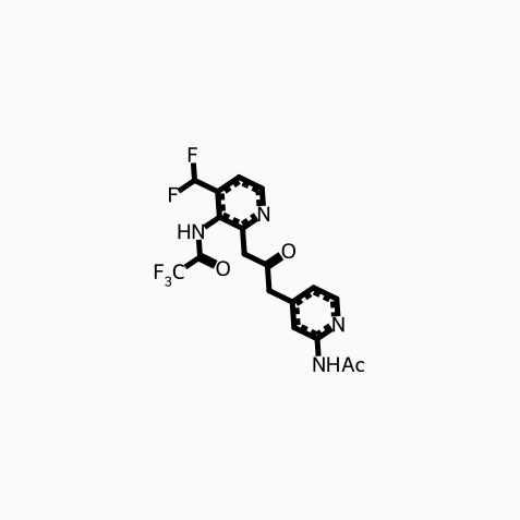 CC(=O)Nc1cc(CC(=O)Cc2nccc(C(F)F)c2NC(=O)C(F)(F)F)ccn1